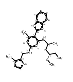 CC[C@@H](CO)CC(C)Nc1nc(NCc2sccc2C)nc(C)c1-c1nc2ccccc2s1